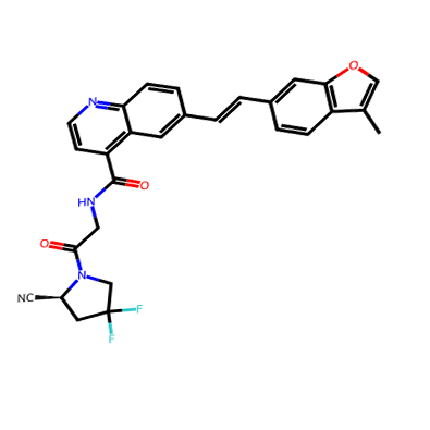 Cc1coc2cc(/C=C/c3ccc4nccc(C(=O)NCC(=O)N5CC(F)(F)C[C@H]5C#N)c4c3)ccc12